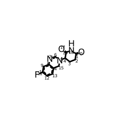 O=C1CCC(N2C=Nc3cc(F)ccc3C2)C(=O)N1